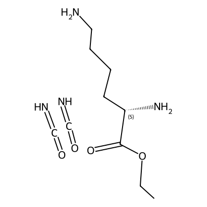 CCOC(=O)[C@@H](N)CCCCN.N=C=O.N=C=O